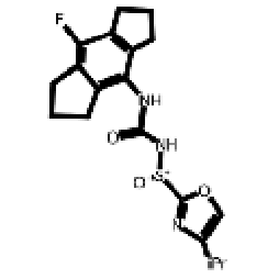 CC(C)c1coc([S+]([O-])NC(=O)Nc2c3c(c(F)c4c2CCC4)CCC3)n1